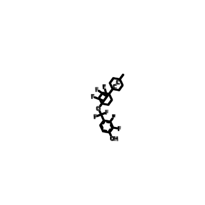 CC12CCC(C34CCC(OC(F)(F)c5ccc(O)c(F)c5F)(CC3)C(F)C4(F)F)(CC1)CC2